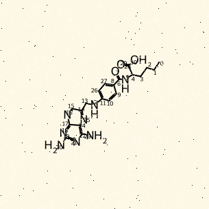 CCCCC(NC(=O)c1ccc(NCc2cnc3nc(N)nc(N)c3n2)cc1)C(=O)O